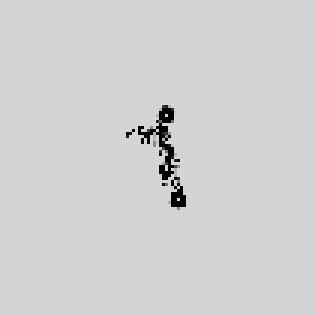 CC(C)OC(=O)CNP(=O)(OC[C@@H]1C[C@H](C)[C@H](n2ccc(=O)n(COCc3ccccc3)c2=O)O1)Oc1ccccc1